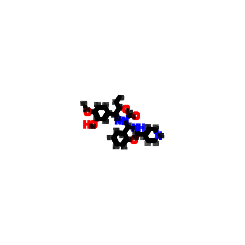 CCC1OC(=O)N(C(NC(=O)c2ccncc2)c2ccccc2)N=C1c1ccc(OC)c(O)c1